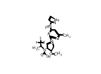 CO[C@@H]1CN(c2nc(C)cc(Nc3cc[nH]n3)n2)C[C@H]1N(C(=O)O)[C@@H](C)C(F)(F)F